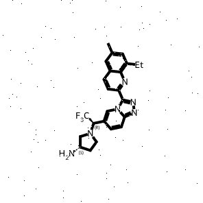 CCc1cc(C)cc2ccc(-c3nnc4ccc([C@@H](N5CC[C@H](N)C5)C(F)(F)F)cn34)nc12